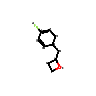 FC1=CCC(CC2CCO2)C=C1